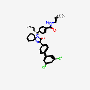 CC(C)CC[C@H](c1ccc(C(=O)NCCC(=O)O)cc1)N1C(=O)C(c2ccc(-c3cc(Cl)cc(Cl)c3)cc2)=NC12CCCCC2